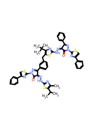 Cc1nc(N/N=C2\C(=O)N(c3nc(-c4ccccc4)cs3)N=C2c2cccc(Cc3sc(N/N=C4\C(=O)N(c5nc(-c6ccccc6)cs5)N=C4c4ccccc4)nc3C(C)(C)C)c2)sc1C(C)C